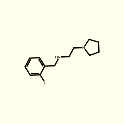 Fc1ccccc1CNCCN1CCCC1